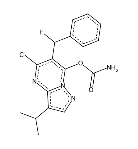 CC(C)c1cnn2c(OC(N)=O)c(C(F)c3ccccc3)c(Cl)nc12